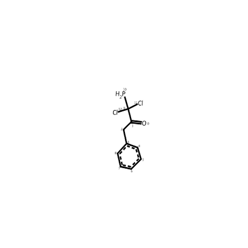 O=C(Cc1ccccc1)C(P)(Cl)Cl